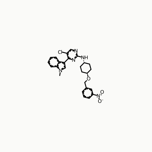 Cn1cc(-c2nc(N[C@H]3CC[C@H](OCc4cccc([N+](=O)[O-])c4)CC3)ncc2Cl)c2ccccc21